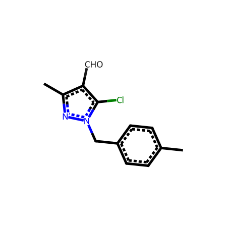 Cc1ccc(Cn2nc(C)c(C=O)c2Cl)cc1